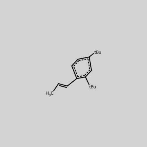 CC=Cc1ccc(C(C)(C)C)cc1C(C)(C)C